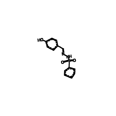 O=S(=O)(NN=Cc1ccc(O)cc1)c1ccccc1